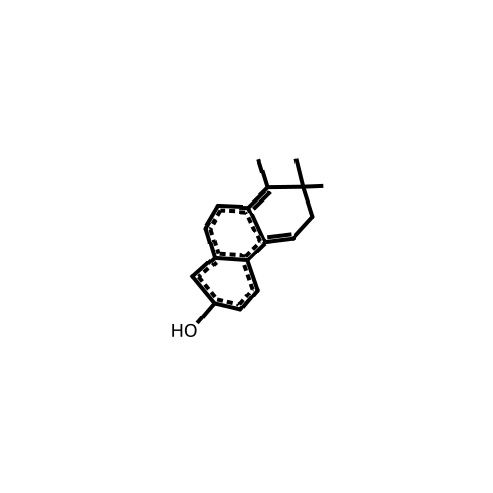 CC1=c2ccc3cc(O)ccc3c2=CCC1(C)C